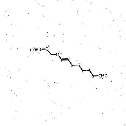 CCCCCOCOC=CCCCCCC=O